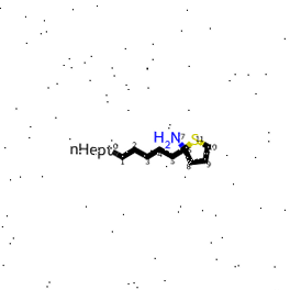 CCCCCCCCCCCCC1(N)CCCS1